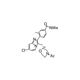 CNC(=O)c1ccc(-c2nc3cc(Cl)ccn3c2C[C@@H]2CN(C(C)=O)CCO2)c(C)c1